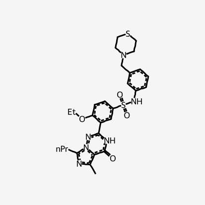 CCCc1nc(C)c2c(=O)[nH]c(-c3cc(S(=O)(=O)Nc4cccc(CN5CCSCC5)c4)ccc3OCC)nn12